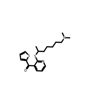 CC(CCCCCN(C)C)Sc1ncccc1C(=O)c1cccs1